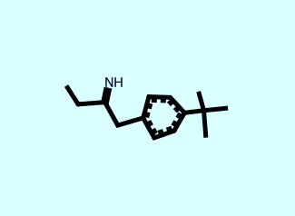 CCC(=N)Cc1ccc(C(C)(C)C)cc1